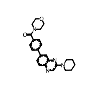 O=C(c1ccc(-c2ccc3ncc(N4CCCCC4)nc3c2)cc1)N1CCOCC1